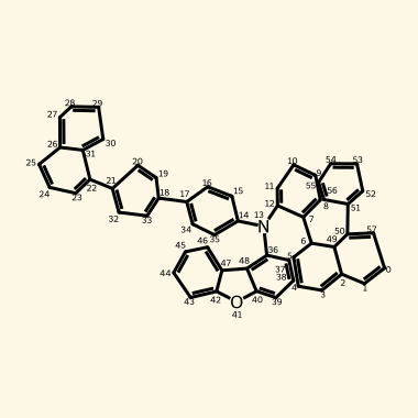 C1=CC2=CC=CC(c3ccccc3N(c3ccc(-c4ccc(-c5cccc6ccccc56)cc4)cc3)c3cccc4oc5ccccc5c34)C2C(c2ccccc2)=C1